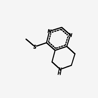 CSc1ncnc2c1CNCC2